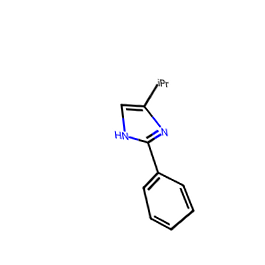 CC(C)c1c[nH]c(-c2ccccc2)n1